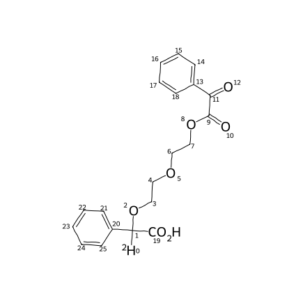 [2H]C(OCCOCCOC(=O)C(=O)c1ccccc1)(C(=O)O)c1ccccc1